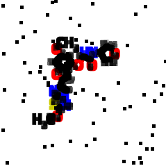 COc1cc(OCC(=O)NC2CCOCC2)c2cc(-c3cn4nc(OC)sc4n3)oc2c1